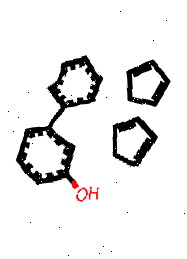 C1=CCC=C1.C1=CCC=C1.Oc1cccc(-c2ccccc2)c1